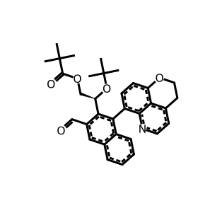 CC(C)(C)O[C@H](COC(=O)C(C)(C)C)c1c(C=O)cc2ccccc2c1-c1ccc2c3c(ccnc13)CCO2